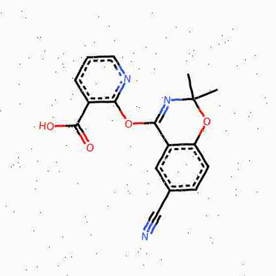 CC1(C)N=C(Oc2ncccc2C(=O)O)c2cc(C#N)ccc2O1